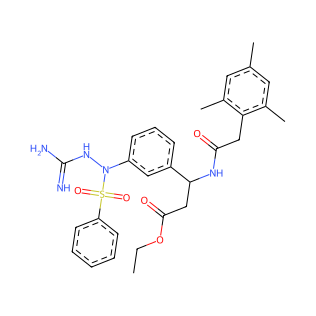 CCOC(=O)CC(NC(=O)Cc1c(C)cc(C)cc1C)c1cccc(N(NC(=N)N)S(=O)(=O)c2ccccc2)c1